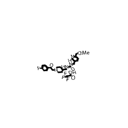 COCc1ccc(CNC(=O)NCC2CCN(CC(=O)c3ccc(F)cc3)CC2)cn1.O=C(O)C(F)(F)F